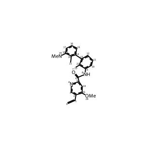 C=Cc1cnc(C(=O)Nc2cccc(-c3cccc(NC)c3C)c2C)cc1OC